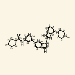 CN1CCN(c2ccnc3[nH]c(-c4n[nH]c5ccc(-c6cncc(NC(=O)C7CCCCC7)c6)nc45)nc23)CC1